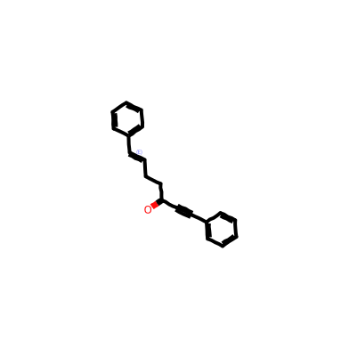 O=C(C#Cc1ccccc1)CC/C=C/c1ccccc1